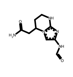 NC(=O)CC1CCNc2nc(NC=O)cn21